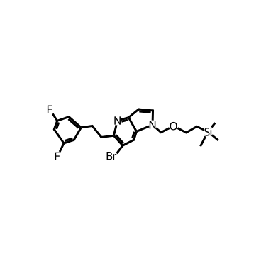 C[Si](C)(C)CCOCn1ccc2nc(CCc3cc(F)cc(F)c3)c(Br)cc21